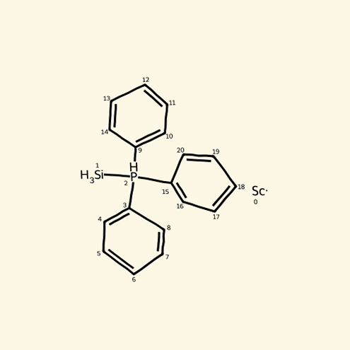 [Sc].[SiH3][PH](c1ccccc1)(c1ccccc1)c1ccccc1